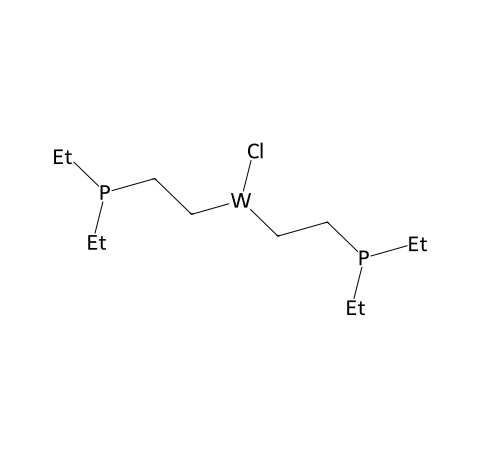 CCP(CC)C[CH2][W]([Cl])[CH2]CP(CC)CC